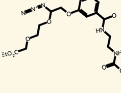 CCOC(=O)COCCOC(COc1cccc(C(O)NCCNC(=O)C(F)(F)F)c1)N=[N+]=[N-]